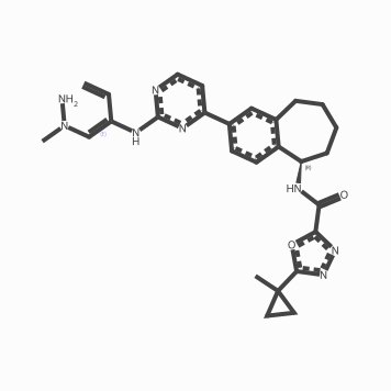 C=C/C(=C\N(C)N)Nc1nccc(-c2ccc3c(c2)CCCC[C@H]3NC(=O)c2nnc(C3(C)CC3)o2)n1